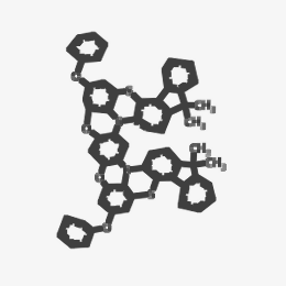 CC1(C)c2ccccc2-c2c1ccc1c2Sc2cc(Oc3ccccc3)cc3c2B1c1cc2c(cc1O3)Oc1cc(Oc3ccccc3)cc3c1B2c1ccc2c(c1S3)-c1ccccc1C2(C)C